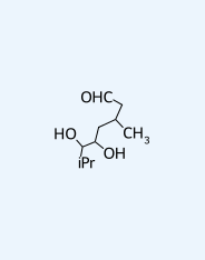 CC(CC=O)CC(O)C(O)C(C)C